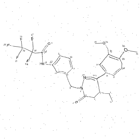 CCC1CC(=O)N(Cc2cccc(NC(=O)C(F)(F)C(F)(F)F)c2)N=C1c1ccc(OC)c(OC)c1